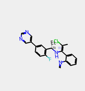 C=Nc1ccccc1/C(N[C@@H](CC)c1cc(-c2cncnc2)ccc1F)=C(\C)Cl